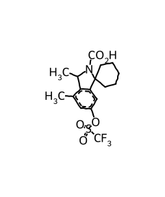 Cc1cc(OS(=O)(=O)C(F)(F)F)cc2c1C(C)N(C(=O)O)C21CCCCC1